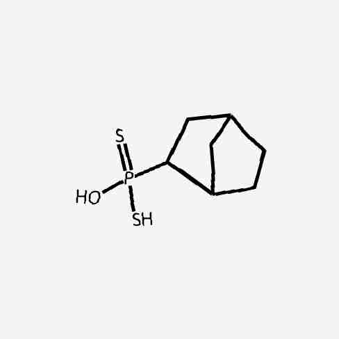 OP(=S)(S)C1CC2CCC1C2